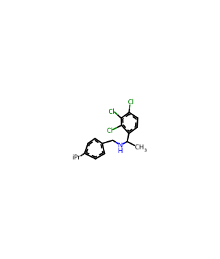 CC(C)c1ccc(CNC(C)c2ccc(Cl)c(Cl)c2Cl)cc1